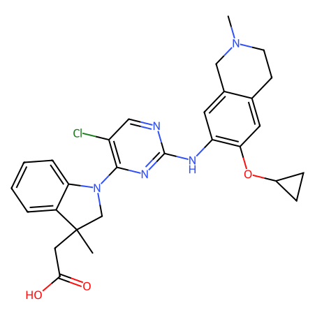 CN1CCc2cc(OC3CC3)c(Nc3ncc(Cl)c(N4CC(C)(CC(=O)O)c5ccccc54)n3)cc2C1